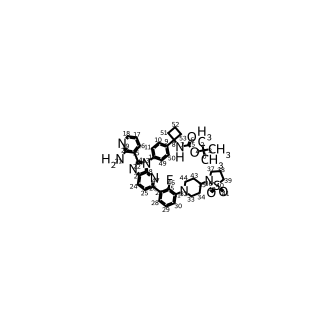 CC(C)(C)OC(=O)NC1(c2ccc(-n3c(-c4cccnc4N)nc4ccc(-c5cccc(N6CCC(N7CCCS7(=O)=O)CC6)c5F)nc43)cc2)CCC1